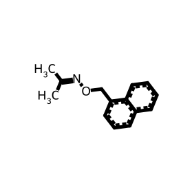 CC(C)=NOCc1cccc2ccccc12